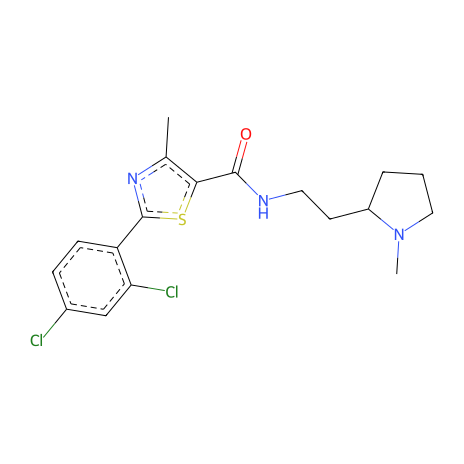 Cc1nc(-c2ccc(Cl)cc2Cl)sc1C(=O)NCCC1CCCN1C